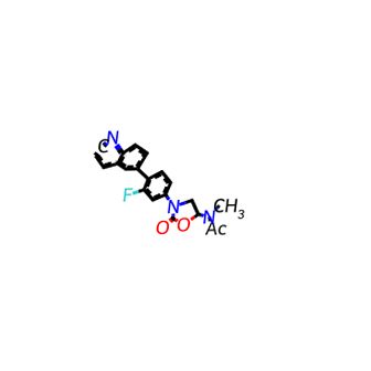 CC(=O)N(C)C1CN(c2ccc(-c3ccc4ncccc4c3)c(F)c2)C(=O)O1